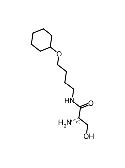 N[C@@H](CO)C(=O)NCCCCOC1CCCCC1